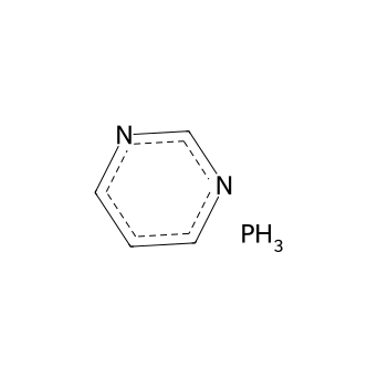 P.c1cncnc1